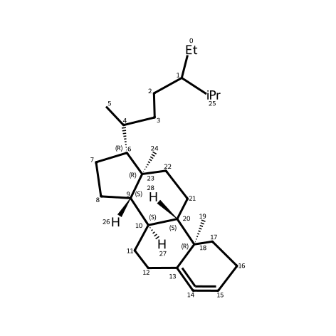 CCC(CCC(C)[C@H]1CC[C@H]2[C@@H]3CCC4=C=CCC[C@]4(C)[C@H]3CC[C@]12C)C(C)C